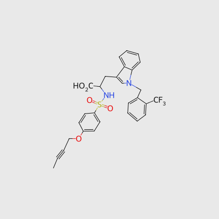 CC#CCOc1ccc(S(=O)(=O)NC(Cc2cn(Cc3ccccc3C(F)(F)F)c3ccccc23)C(=O)O)cc1